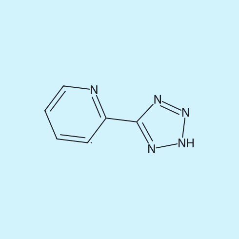 [c]1cccnc1-c1nn[nH]n1